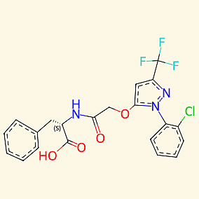 O=C(COc1cc(C(F)(F)F)nn1-c1ccccc1Cl)N[C@@H](Cc1ccccc1)C(=O)O